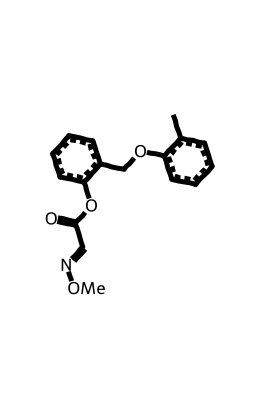 CON=CC(=O)Oc1ccccc1COc1ccccc1C